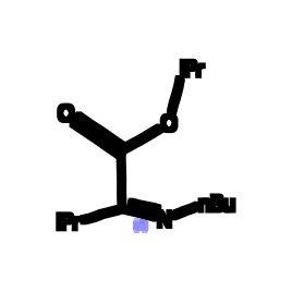 CCCC/N=C(\C(=O)OC(C)C)C(C)C